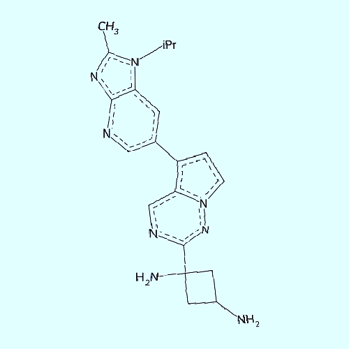 Cc1nc2ncc(-c3ccn4nc(C5(N)CC(N)C5)ncc34)cc2n1C(C)C